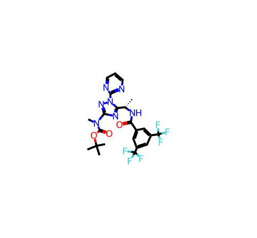 C[C@H](NC(=O)c1cc(C(F)(F)F)cc(C(F)(F)F)c1)c1nc(N(C)C(=O)OC(C)(C)C)nn1-c1ncccn1